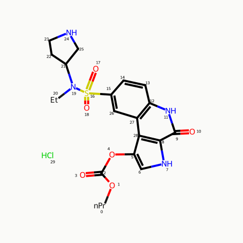 CCCOC(=O)Oc1c[nH]c2c(=O)[nH]c3ccc(S(=O)(=O)N(CC)C4CCNC4)cc3c12.Cl